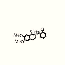 CCCCCCC1=[N+](Cc2ccccc2Cl)CCc2cc(OC)c(OC)cc21